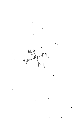 [PH2][Pt]([PH2])([PH2])[PH2]